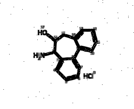 Cl.NC1c2ccccc2-c2ccccc2CC1O